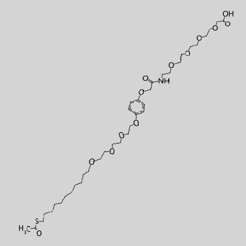 CC(=O)SCCCCCCCCCCCOCCOCCOCCOc1ccc(OCC(=O)NCCOCCOCCOCCOCC(=O)O)cc1